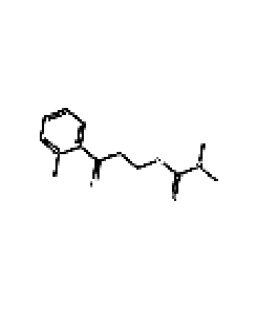 Cc1ccccc1C(=O)CCSC(=S)N(C)C